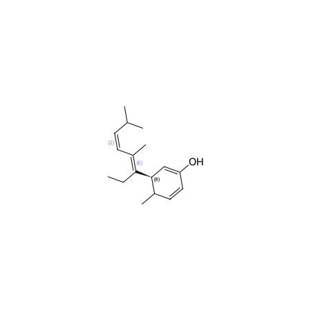 CC/C(=C(C)\C=C/C(C)C)[C@H]1C=C(O)C=CC1C